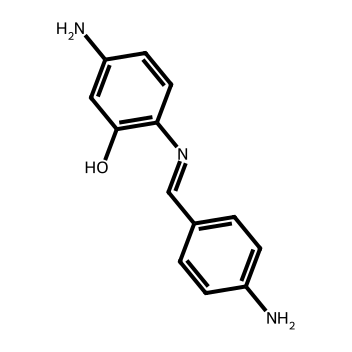 Nc1ccc(C=Nc2ccc(N)cc2O)cc1